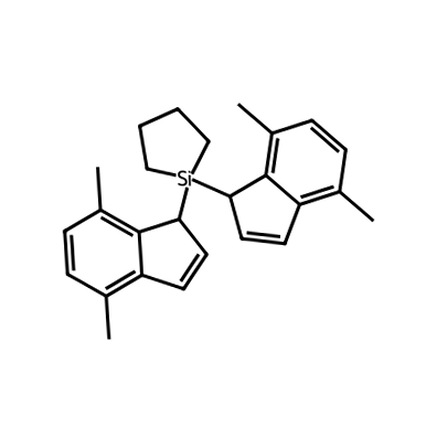 Cc1ccc(C)c2c1C=CC2[Si]1(C2C=Cc3c(C)ccc(C)c32)CCCC1